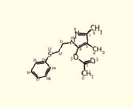 CC(=O)Oc1c(C)c(C)nn1CCSc1ccccc1